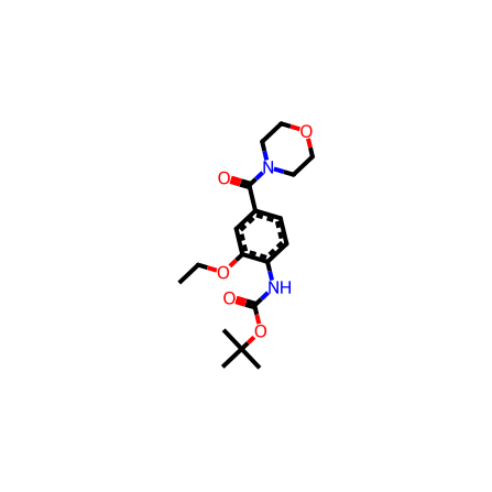 CCOc1cc(C(=O)N2CCOCC2)ccc1NC(=O)OC(C)(C)C